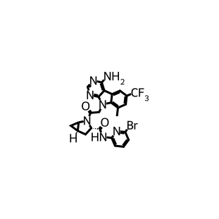 Cc1cc(C(F)(F)F)cc2c3c(N)ncnc3n(CC(=O)N3C4C[C@@H]4C[C@H]3C(=O)Nc3cccc(Br)n3)c12